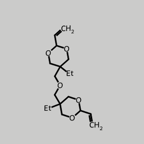 C=CC1OCC(CC)(COCC2(CC)COC(C=C)OC2)CO1